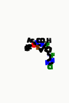 CC(=O)C(OCC[Si](C)(C)C)N(C(=O)O)C1=NC(C)(c2cc(/C=C(\F)c3cnc(Cl)cn3)ccc2F)C2CC2S1